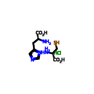 Cl.N[C@@H](CS)C(=O)O.N[C@@H](Cc1cnc[nH]1)C(=O)O